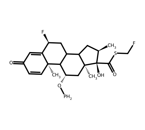 C[C@@H]1CC2C3C[C@H](F)C4=CC(=O)C=C[C@]4(C)C3[C@@H](OP)C[C@]2(C)[C@@]1(O)C(=O)SCF